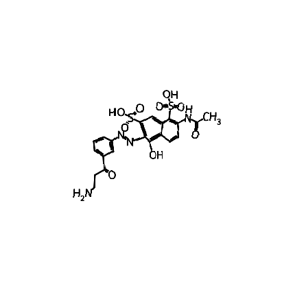 CC(=O)Nc1ccc2c(O)c(N=Nc3cccc(C(=O)CCN)c3)c(S(=O)(=O)O)cc2c1S(=O)(=O)O